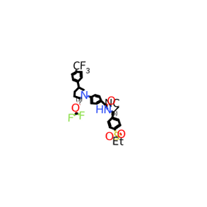 CCS(=O)(=O)c1ccc([C@H](CC#N)NC(=O)c2ccc(N3CC(c4ccc(C(F)(F)F)cc4)CC[C@H]3COC(F)F)cc2)cc1